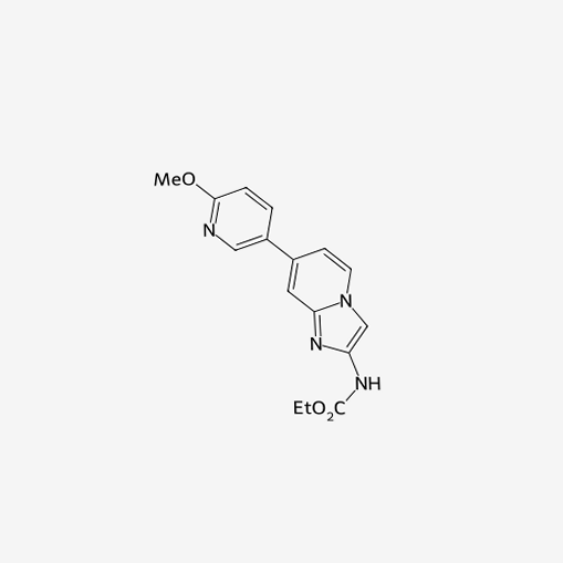 CCOC(=O)Nc1cn2ccc(-c3ccc(OC)nc3)cc2n1